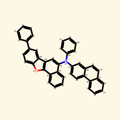 c1ccc(-c2ccc3oc4c5ccccc5c(N(c5ccccc5)c5ccc6c(ccc7ccccc76)c5)cc4c3c2)cc1